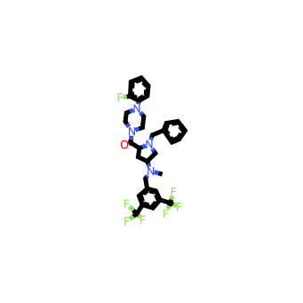 CN(Cc1cc(C(F)(F)F)cc(C(F)(F)F)c1)C1CC(C(=O)N2CCN(c3ccccc3F)CC2)N(Cc2ccccc2)C1